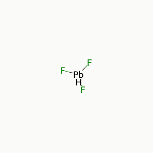 [F][PbH]([F])[F]